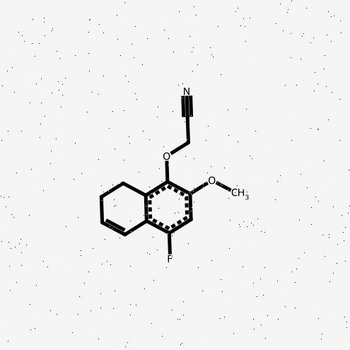 COc1cc(F)c2c(c1OCC#N)CCC=C2